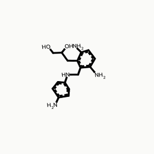 Nc1ccc(NCc2c(N)ccc(N)c2CC(O)CO)cc1